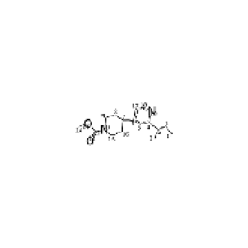 CCC(C)c1cc(C2CCN(C(=O)OC)CC2)ccn1